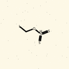 S=[SH](=S)OCI